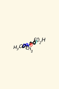 Cc1ccc(C(C)NCc2ccc(-c3ccc(F)c(C(=O)O)c3)o2)cc1